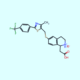 Cc1nc(-c2ccc(C(F)(F)F)cc2)sc1CSc1ccc2c(c1)CC[NH+]([O-])C2CC(=O)O